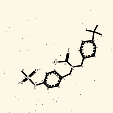 CC(C)(C)c1ccc(CN(Cc2ccc(NS(C)(=O)=O)cc2)C(N)=S)cc1